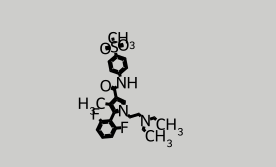 CCN(CC)CCn1cc(C(=O)Nc2ccc(S(C)(=O)=O)cc2)c(C)c1-c1c(F)cccc1F